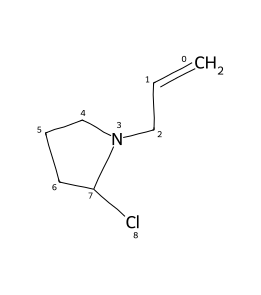 C=CCN1CCCC1Cl